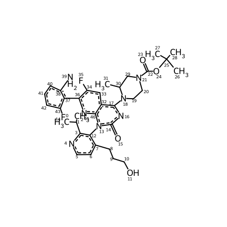 CC(C)c1nccc(CCCO)c1-n1c(=O)nc(N2CCN(C(=O)OC(C)(C)C)CC2C)c2cc(F)c(-c3c(N)cccc3F)nc21